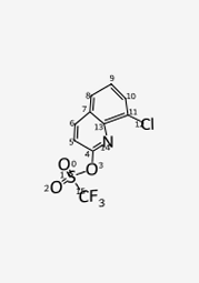 O=S(=O)(Oc1ccc2cccc(Cl)c2n1)C(F)(F)F